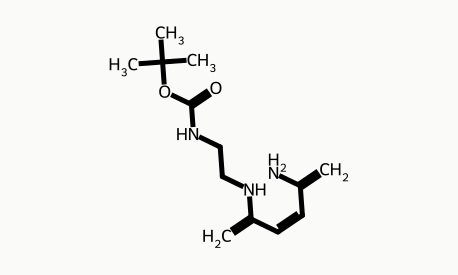 C=C(N)/C=C\C(=C)NCCNC(=O)OC(C)(C)C